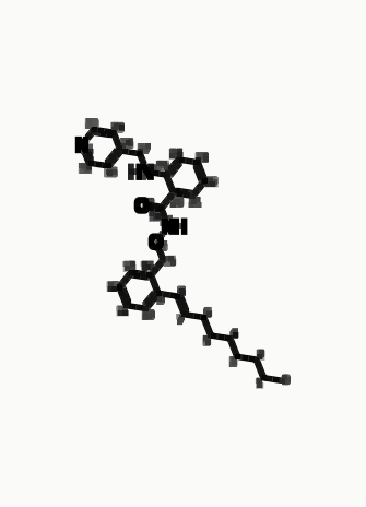 CCCCCCCC=Cc1ccccc1CONC(=O)c1ccccc1NCc1ccncc1